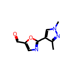 Cc1nn(C)cc1-c1ncc(C=O)o1